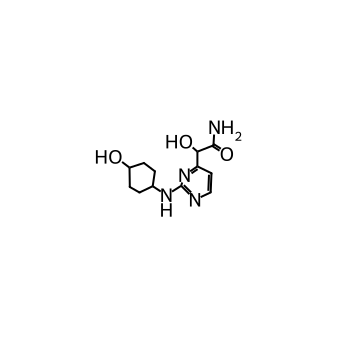 NC(=O)C(O)c1ccnc(NC2CCC(O)CC2)n1